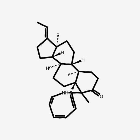 CC=C1CC[C@H]2[C@@H]3CC[C@H]4C(C)(C5=CC=CC=CN5)C(=O)CC[C@]4(C)[C@H]3CC[C@]12C